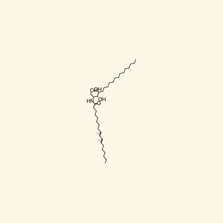 CCCCCC/C=C/C=C/CCCCCCCC(=O)NC(CO)C(O)C(O)CCCCCCCCCCCCCC